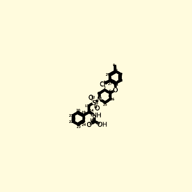 Cc1ccc(OC2CCN(S(=O)(=O)CC(NC(=O)O)c3ccccc3)CC2)c(Cl)c1